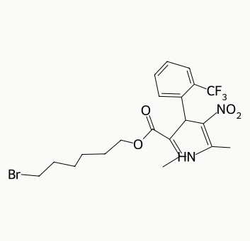 CC1=C(C(=O)OCCCCCCBr)C(c2ccccc2C(F)(F)F)C([N+](=O)[O-])=C(C)N1